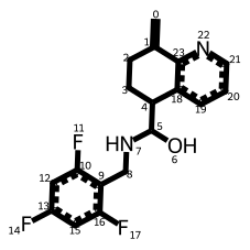 C=C1CCC(C(O)NCc2c(F)cc(F)cc2F)c2cccnc21